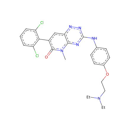 CCN(CC)CCOc1ccc(Nc2nnc3cc(-c4c(Cl)cccc4Cl)c(=O)n(C)c3n2)cc1